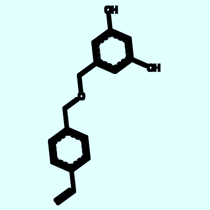 C=Cc1ccc(COCc2cc(O)cc(O)c2)cc1